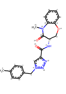 Cc1ccc(Cn2cc(C(=O)N[C@H]3COc4ccccc4N(C)C3=O)nn2)cc1